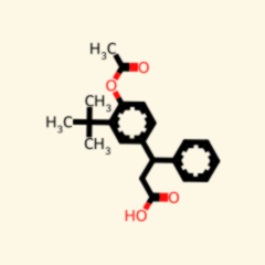 CC(=O)Oc1ccc(C(CC(=O)O)c2ccccc2)cc1C(C)(C)C